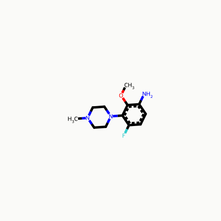 COc1c(N)ccc(F)c1N1CCN(C)CC1